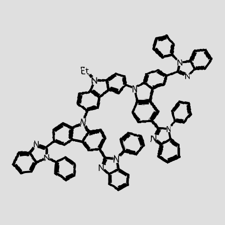 CCn1c2ccc(-n3c4ccc(-c5nc6ccccc6n5-c5ccccc5)cc4c4cc(-c5nc6ccccc6n5-c5ccccc5)ccc43)cc2c2cc(-n3c4ccc(-c5nc6ccccc6n5-c5ccccc5)cc4c4cc(-c5nc6ccccc6n5-c5ccccc5)ccc43)ccc21